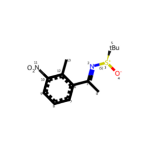 CC(=N[S@+]([O-])C(C)(C)C)c1cccc([N+](=O)[O-])c1C